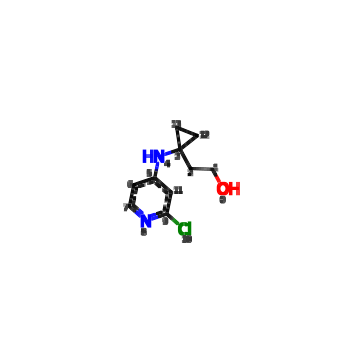 OCCC1(Nc2ccnc(Cl)c2)CC1